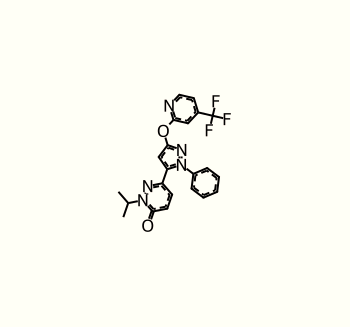 CC(C)n1nc(-c2cc(Oc3cc(C(F)(F)F)ccn3)nn2-c2ccccc2)ccc1=O